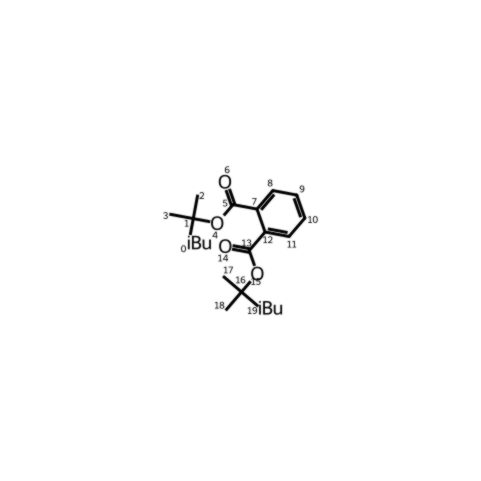 CCC(C)C(C)(C)OC(=O)c1ccccc1C(=O)OC(C)(C)C(C)CC